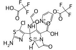 Nc1nc(C2(NC(=O)C=O)S[C@H]3CC(=O)N3C(C(=O)O)=C2C[n+]2ccccc2)c(Cl)s1.O=C(O)C(F)(F)F.O=C([O-])C(F)(F)F